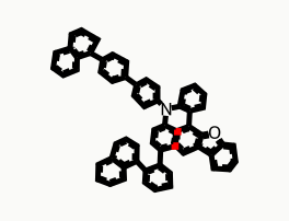 c1ccc(-c2cccc3ccccc23)c(-c2ccc(N(c3ccc(-c4ccc(-c5cccc6ccccc56)cc4)cc3)c3ccccc3-c3cccc4c3oc3ccccc34)cc2)c1